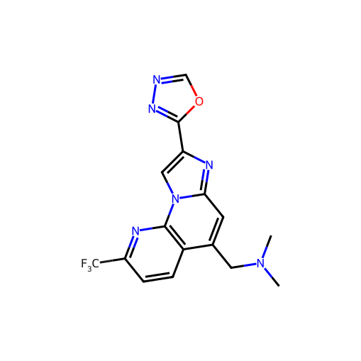 CN(C)Cc1cc2nc(-c3nnco3)cn2c2nc(C(F)(F)F)ccc12